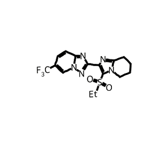 CCS(=O)(=O)c1c(-c2nc3ccc(C(F)(F)F)cn3n2)nc2n1CCCC2